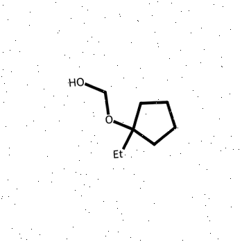 CCC1(OCO)CCCC1